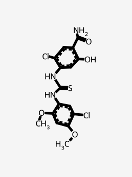 COc1cc(OC)c(NC(=S)Nc2cc(O)c(C(N)=O)cc2Cl)cc1Cl